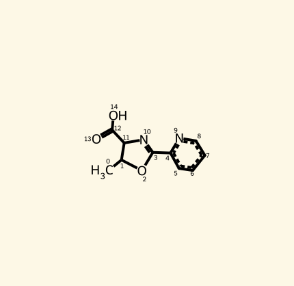 CC1OC(c2ccccn2)=NC1C(=O)O